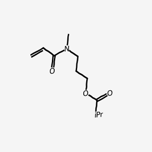 C=CC(=O)N(C)CCCOC(=O)C(C)C